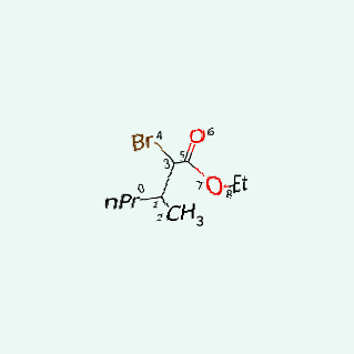 CCCC(C)C(Br)C(=O)OCC